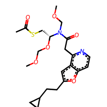 COCO[C@H](CSC(C)=O)N(COC)C(=O)Cc1nccc2oc(CCC3CC3)cc12